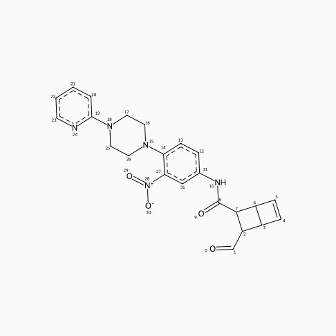 O=CC1C2C=CC2C1C(=O)Nc1ccc(N2CCN(c3ccccn3)CC2)c([N+](=O)[O-])c1